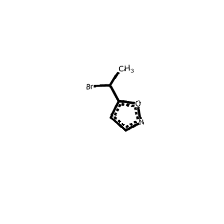 CC(Br)c1ccno1